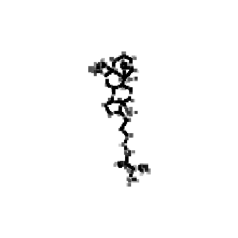 C[C@H]1CC2C3CCC(CCCCOC(=O)N(C)C)C3(C)CC[C@@H]2C2(C)CCCCC12N